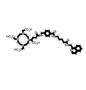 O=C(O)CN1CCN(CC(=O)O)CCN(C(CCC(=O)NCc2ccc(C(=O)NCCCCC(=O)NCc3nccc4ccccc34)cc2)C(=O)O)CCN(CC(=O)O)CC1